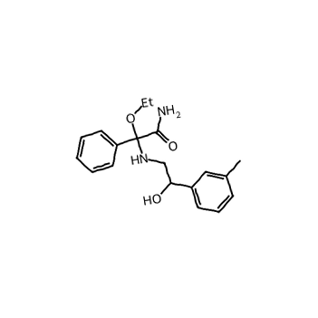 CCOC(NCC(O)c1cccc(C)c1)(C(N)=O)c1ccccc1